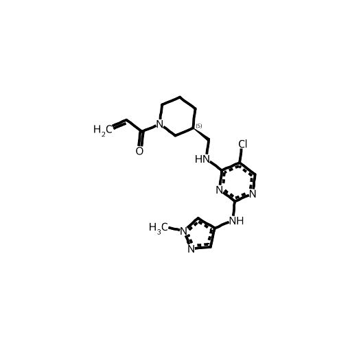 C=CC(=O)N1CCC[C@@H](CNc2nc(Nc3cnn(C)c3)ncc2Cl)C1